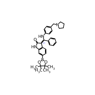 CC1(C)OB(c2ccc3c(c2)NC(=O)/C3=C(\Nc2ccc(CN3CCCC3)cc2)c2ccccc2)OC1(C)C